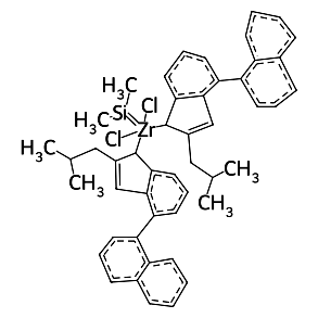 CC(C)CC1=Cc2c(-c3cccc4ccccc34)cccc2[CH]1[Zr]([Cl])([Cl])([CH]1C(CC(C)C)=Cc2c(-c3cccc4ccccc34)cccc21)=[Si](C)C